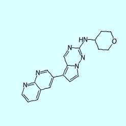 c1cnc2ncc(-c3ccn4nc(NC5CCOCC5)ncc34)cc2c1